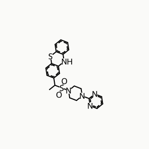 CC(c1ccc2c(c1)Nc1ccccc1S2)S(=O)(=O)N1CCN(c2ncccn2)CC1